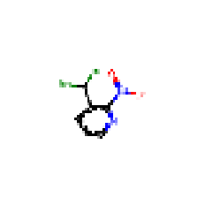 O=[N+]([O-])c1ncccc1C(Br)Br